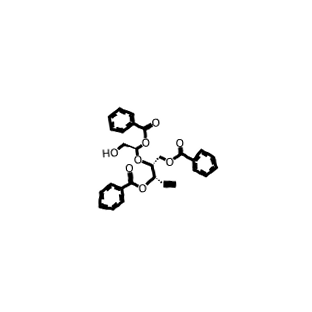 C#C[C@H](OC(=O)c1ccccc1)[C@@H](COC(=O)c1ccccc1)O[C@@H](CO)OC(=O)c1ccccc1